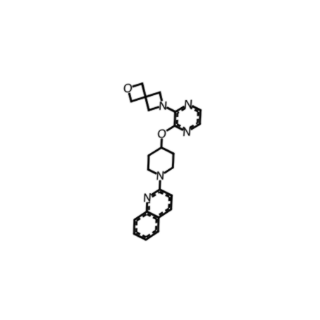 c1ccc2nc(N3CCC(Oc4nccnc4N4CC5(COC5)C4)CC3)ccc2c1